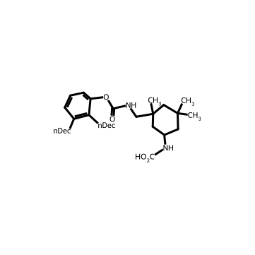 CCCCCCCCCCc1cccc(OC(=O)NCC2(C)CC(NC(=O)O)CC(C)(C)C2)c1CCCCCCCCCC